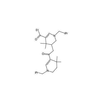 CCC(=O)C1=CN(CC(C)C)CC(CC(=O)C2=CN(CC(C)C)CCC2(C)C)C1(C)C